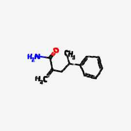 C=C(CC(C)c1ccccc1)C(N)=O